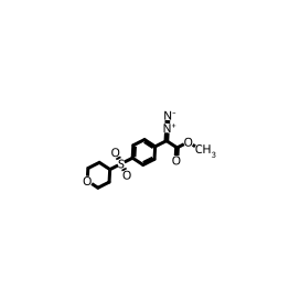 COC(=O)C(=[N+]=[N-])c1ccc(S(=O)(=O)C2CCOCC2)cc1